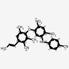 CC=Cc1cc(C)c(Oc2cc(Nc3ccc(C#N)cc3)c([N+](=O)[O-])cc2[N+](=O)[O-])c(C)c1C#N